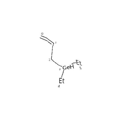 C=C[CH2][GeH]([CH2]C)[CH2]C